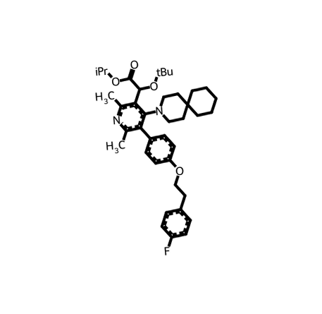 Cc1nc(C)c(C(OC(C)(C)C)C(=O)OC(C)C)c(N2CCC3(CCCCC3)CC2)c1-c1ccc(OCCc2ccc(F)cc2)cc1